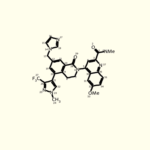 CNC(=O)c1cc(N2CCc3c(cc(Cn4ccnc4)cc3-c3cn(C)nc3C(F)(F)F)C2=O)c2cc(OC)ccc2n1